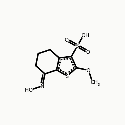 COc1sc2c(c1S(=O)(=O)O)CCCC2=NO